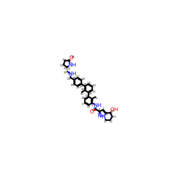 Cc1c(NC(=O)c2cc3n(n2)CCCC3O)cccc1-c1cccc(-c2ccc(CNC[C@@H]3CCC(=O)N3)cc2)c1C